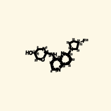 O[C@@H]1CN=C(Nc2ccnc3ccc(N4CC[C@H](F)C4)nc23)OC1